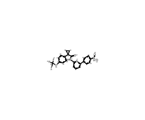 O=C(Nc1cccc(-c2ccc([SH](=O)=O)cc2)n1)C1(c2ccc(OC(F)(F)F)cc2)CC1